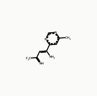 Cc1cc(/C(N)=C/C(=N)C(F)(F)F)ncn1